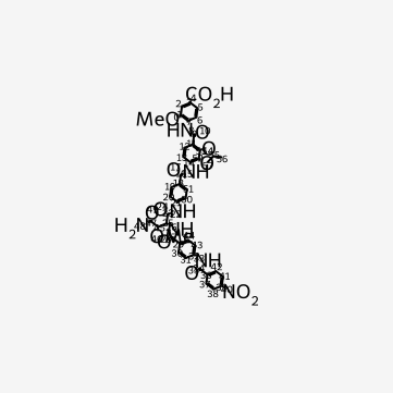 COc1cc(C(=O)O)ccc1NC(=O)c1ccc(NC(=O)c2ccc(NC(=O)C(NC(=O)c3ccc(NC(=O)c4ccc([N+](=O)[O-])cc4)cc3)C(OC)C(N)=O)cc2)c2c1OC(C)O2